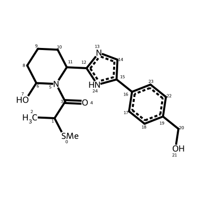 CSC(C)C(=O)N1C(O)CCCC1c1ncc(-c2ccc(CO)cc2)[nH]1